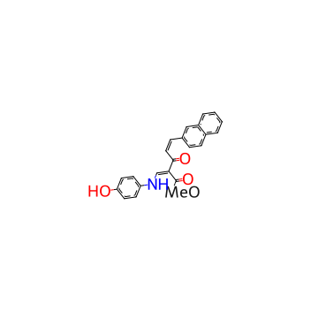 COC(=O)/C(=C\Nc1ccc(O)cc1)C(=O)/C=C\c1ccc2ccccc2c1